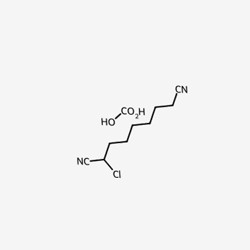 N#CCCCCCCC(Cl)C#N.O=C(O)O